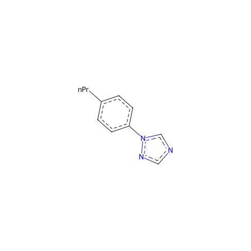 [CH2]CCc1ccc(-n2cncn2)cc1